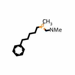 CNCP(C)CCCCCc1ccccc1